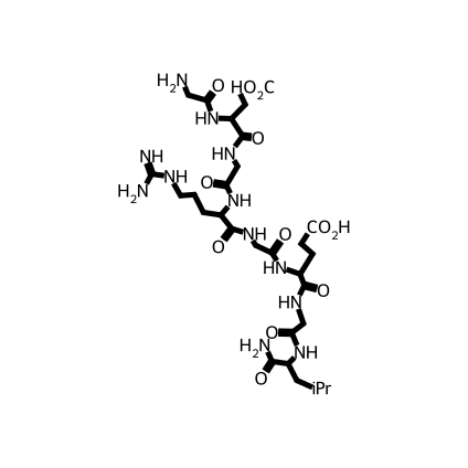 CC(C)CC(NC(=O)CNC(=O)C(CCC(=O)O)NC(=O)CNC(=O)C(CCCNC(=N)N)NC(=O)CNC(=O)C(CC(=O)O)NC(=O)CN)C(N)=O